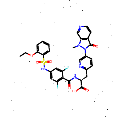 CCOc1ccccc1S(=O)(=O)Nc1cc(F)c(C(=O)N[C@@H](Cc2ccc(-n3c(=O)c4ccncc4n3C)cn2)C(=O)O)c(F)c1